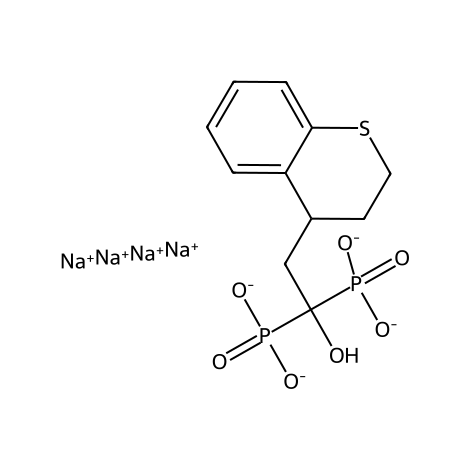 O=P([O-])([O-])C(O)(CC1CCSc2ccccc21)P(=O)([O-])[O-].[Na+].[Na+].[Na+].[Na+]